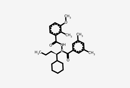 CCC[C@H](C1CCCCC1)N(NC(=O)c1cccc(OC)c1C)C(=O)c1cc(C)cc(C)c1